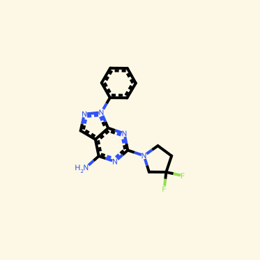 Nc1nc(N2CCC(F)(F)C2)nc2c1cnn2-c1ccccc1